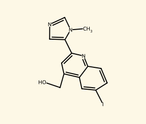 Cn1cncc1-c1cc(CO)c2cc(I)ccc2n1